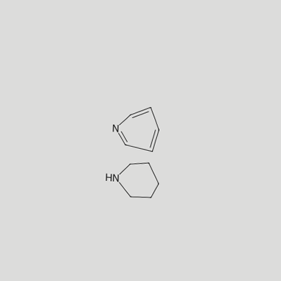 C1CCNCC1.c1ccncc1